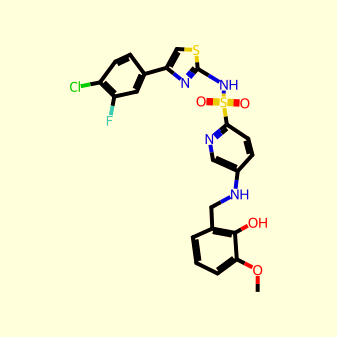 COc1cccc(CNc2ccc(S(=O)(=O)Nc3nc(-c4ccc(Cl)c(F)c4)cs3)nc2)c1O